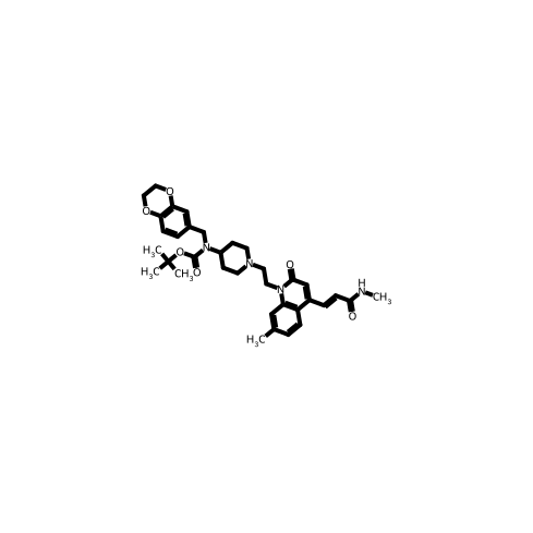 CNC(=O)/C=C/c1cc(=O)n(CCN2CCC(N(Cc3ccc4c(c3)OCCO4)C(=O)OC(C)(C)C)CC2)c2cc(C)ccc12